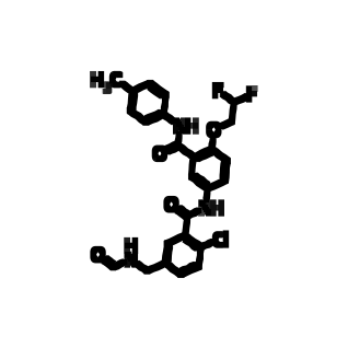 Cc1ccc(NC(=O)c2cc(NC(=O)c3cc(CNC=O)ccc3Cl)ccc2OCC(F)F)cc1